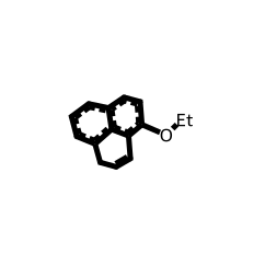 [CH2]COc1ccc2cccc3c2c1C=CC3